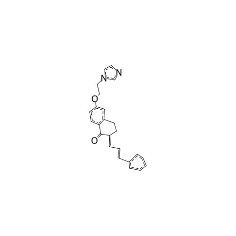 O=C1/C(=C/C=C/c2ccccc2)CCc2cc(OCCn3ccnc3)ccc21